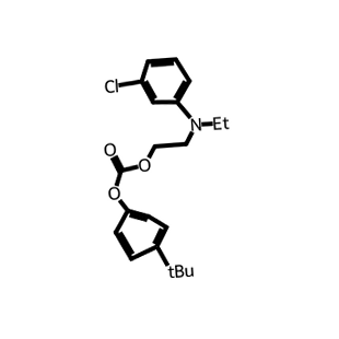 CCN(CCOC(=O)Oc1ccc(C(C)(C)C)cc1)c1cccc(Cl)c1